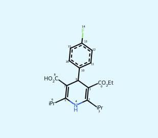 CCOC(=O)C1=C(C(C)C)NC(C(C)C)=C(C(=O)O)C1c1ccc(F)cc1